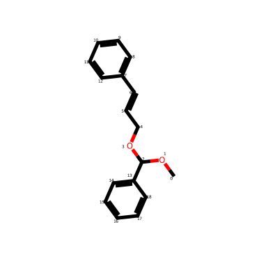 COC(OCC=Cc1ccccc1)c1ccccc1